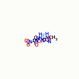 CONc1c(C#N)cnc(NC(=O)N2CCCc3cc(CN4CCOCC4=O)c(C=O)nc32)c1F